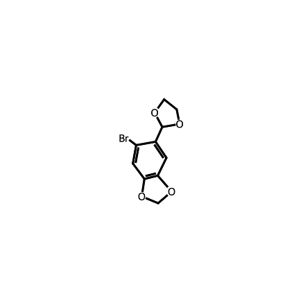 Brc1cc2c(cc1C1OCCO1)OCO2